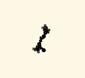 Cn1c(=O)n(C2CCC(=O)NC2=O)c2ccc(C3CCN(CC(=O)N4CC(c5ccc6c(F)c(N7CC(=O)NS7(O)O)c(OCc7ccccc7)cc6c5)C4)CC3)cc21